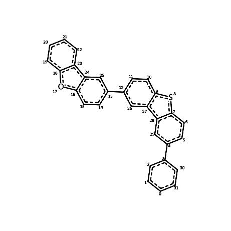 c1ccc(-c2ccc3sc4ccc(-c5ccc6oc7ccccc7c6c5)cc4c3c2)cc1